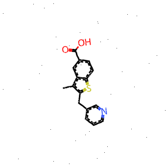 Cc1c(Cc2cccnc2)sc2ccc(C(=O)O)cc12